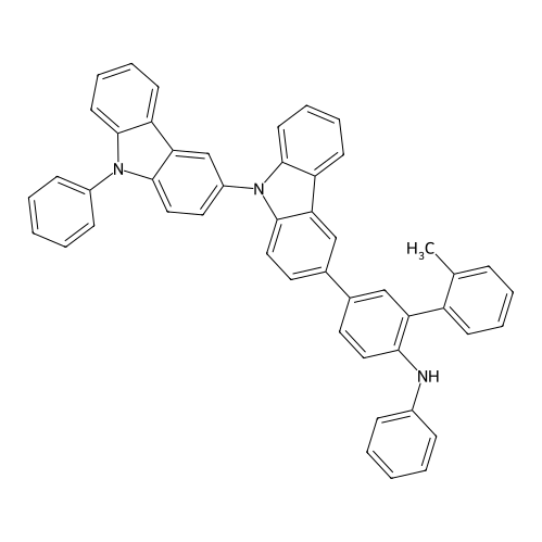 Cc1ccccc1-c1cc(-c2ccc3c(c2)c2ccccc2n3-c2ccc3c(c2)c2ccccc2n3-c2ccccc2)ccc1Nc1ccccc1